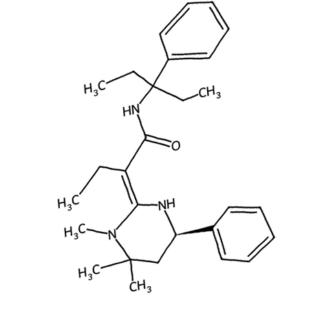 CC/C(C(=O)NC(CC)(CC)c1ccccc1)=C1/N[C@@H](c2ccccc2)CC(C)(C)N1C